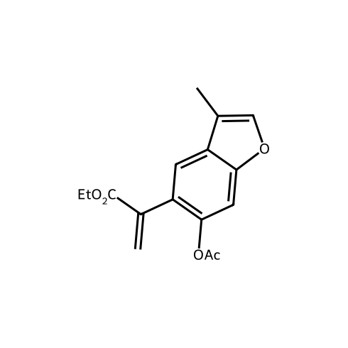 C=C(C(=O)OCC)c1cc2c(C)coc2cc1OC(C)=O